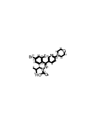 CC(C)CN(N=C(c1ccc(N2CCOCC2)nc1)c1ccc(Br)cc1F)C(=O)O